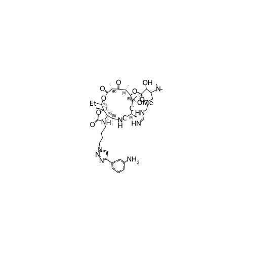 CC[C@H]1OC(=O)[C@H](C)C(=O)[C@H](C)[C@@H](O[C@@H]2OC(CNC=N)CC(N(C)C)C2O)[C@](C)(OC)C[C@@H](C)CN[C@H](C)[C@H]2N(CCCCn3cc(-c4cccc(N)c4)nn3)C(=O)O[C@]12C